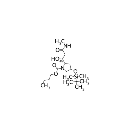 CCCCOC(=O)N1CC(O[Si](C)(C)C(C)(C)C)CC1[C@H](O)CC(=O)NC